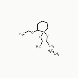 C=C.CCOC1CCCC[Si]1(OCC)OCC